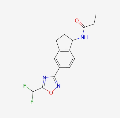 CCC(=O)NC1CCc2cc(-c3noc(C(F)F)n3)ccc21